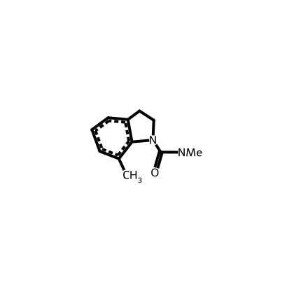 CNC(=O)N1CCc2cccc(C)c21